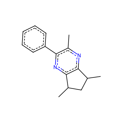 Cc1nc2c(nc1-c1ccccc1)C(C)CC2C